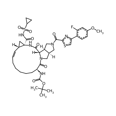 COc1ccc(-c2csc(C(=O)N3C[C@H]4CN5C(=O)[C@@H](NC(=O)OC(C)(C)C)CCCCC/C=C\[C@@H]6C[C@@]6(C(=O)NS(=O)(=O)C6CC6)NC(=O)[C@@H]5[C@H]4C3)n2)c(F)c1